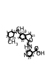 CC1C=CC=C(N(C)c2ccc3c(c2)CCOC3CNc2cnccc2C(=O)O)C1